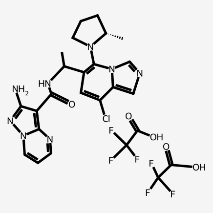 CC(NC(=O)c1c(N)nn2cccnc12)c1cc(Cl)c2cncn2c1N1CCC[C@@H]1C.O=C(O)C(F)(F)F.O=C(O)C(F)(F)F